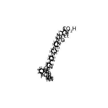 CCC(C(C)[C@@H](C(=O)O)N(C)C)n1ncn(-c2ccc(N3CCN(c4ccc(-c5ccc(C(F)(F)C(O)(Cn6cnnn6)c6ccccc6F)nc5)cc4)CC3)cn2)c1=O